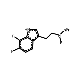 CCCN(CC)CCc1c[nH]c2c(F)c(F)ccc12